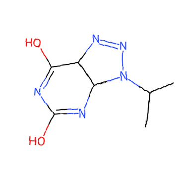 CC(C)N1N=NC2C(O)=NC(O)=NC21